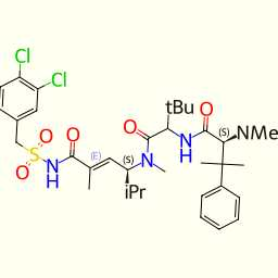 CN[C@H](C(=O)NC(C(=O)N(C)[C@H](/C=C(\C)C(=O)NS(=O)(=O)Cc1ccc(Cl)c(Cl)c1)C(C)C)C(C)(C)C)C(C)(C)c1ccccc1